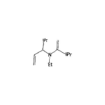 C=CC(C(C)C)N(CC)C(=C)C(C)C